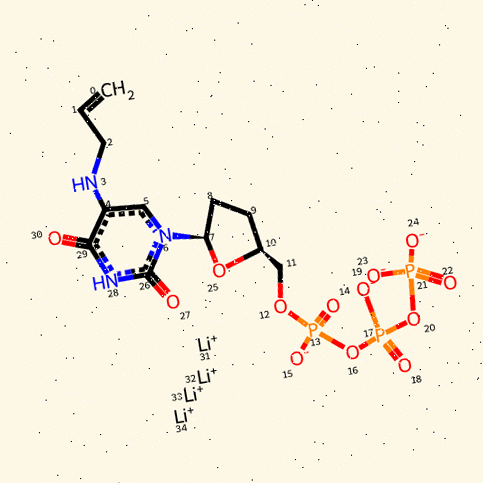 C=CCNc1cn([C@H]2CC[C@@H](COP(=O)([O-])OP(=O)([O-])OP(=O)([O-])[O-])O2)c(=O)[nH]c1=O.[Li+].[Li+].[Li+].[Li+]